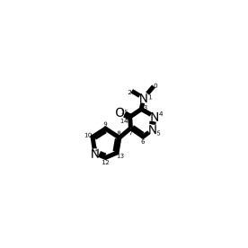 CN(C)C1N=NC=C(c2ccncc2)C1=O